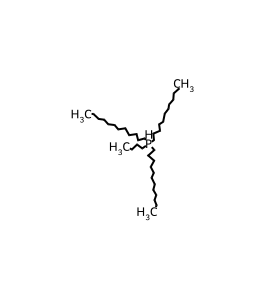 CCCCCCCCCCCC[PH](CCCC)(CCCCCCCCCCCC)CCCCCCCCCCCC